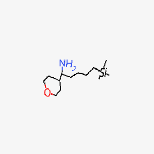 C[Si](C)(C)CCCCC(N)C1CCOCC1